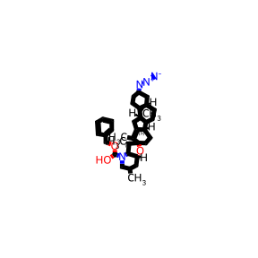 CC1=C2C[C@H]3C(CC[C@@H]4CC(N=[N+]=[N-])CCC43C)[C@@H]2CCC12O[C@@H]1CC(C)CN(C(O)OCc3ccccc3)C1[C@H]2C